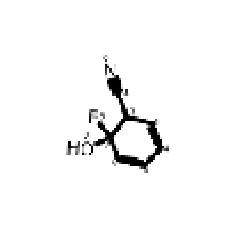 N#CC1C=CC=CC1(O)F